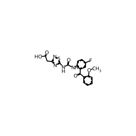 COc1ccccc1C(=O)c1cc(F)ccc1NC(=O)Nc1nc(CC(=O)O)ns1